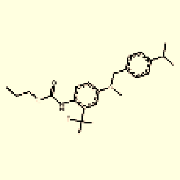 CCCOC(=O)Nc1ccc(N(C)Cc2ccc(C(C)C)cc2)cc1C(F)(F)F